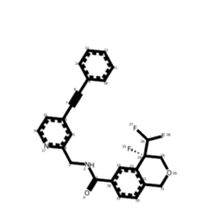 O=C(NCc1cc(C#Cc2ccccc2)ccn1)c1ccc2c(c1)[C@@](F)(C(F)F)COC2